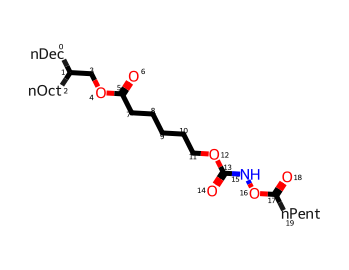 CCCCCCCCCCC(CCCCCCCC)COC(=O)CCCCCOC(=O)NOC(=O)CCCCC